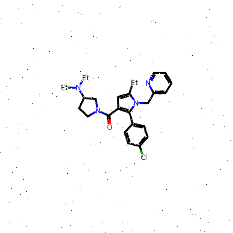 CCc1cc(C(=O)N2CCC(N(CC)CC)C2)c(-c2ccc(Cl)cc2)n1Cc1ccccn1